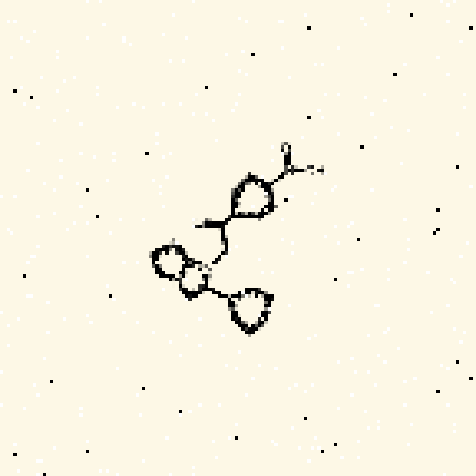 O=C(Cn1c(-c2ccccc2)c[n+]2ccsc12)c1ccc([N+](=O)O)cc1